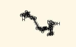 CCc1c(F)ccc2cc(O)cc(-c3ncc4c(NCc5cc(C(=O)N6CCN(C(=O)CCCCCCCCC(=O)N7CCC(c8ccc9c(c8)n(C)c(=O)n9C8CCC(=O)NC8=O)CC7)CC6)nn5C)nc(OC[C@@]56CCCN5C[C@H](F)C6)nc4c3F)c12